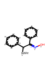 CNC(/C(=N/O)c1ccccc1)c1ccccc1